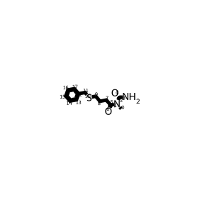 CN(C(N)=O)C(=O)[CH]CCSCc1ccccc1